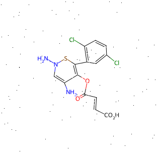 NC1=CN(N)SC(c2cc(Cl)ccc2Cl)=C1OC(=O)C=CC(=O)O